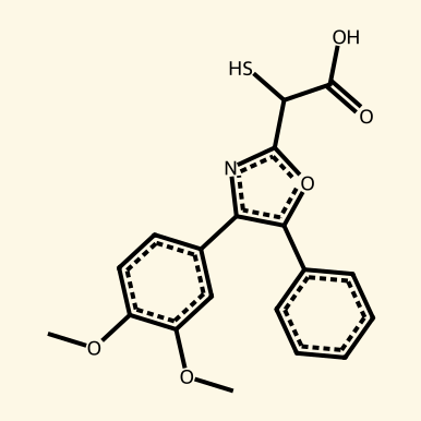 COc1ccc(-c2nc(C(S)C(=O)O)oc2-c2ccccc2)cc1OC